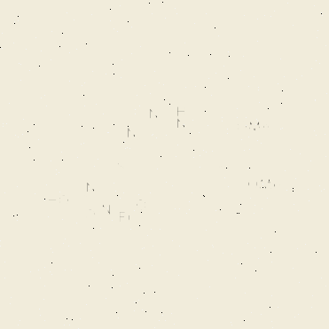 CCOc1cc(-c2cc(NCCc3ccc(OC)cc3OC)ncn2)sc1-c1noc(O)n1